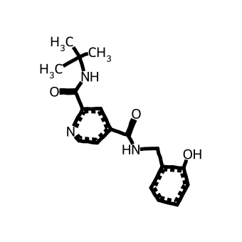 CC(C)(C)NC(=O)c1cc(C(=O)NCc2ccccc2O)ccn1